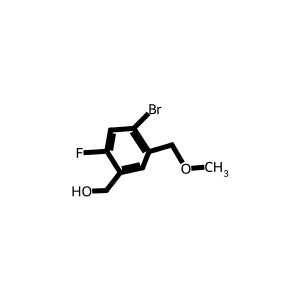 COCc1cc(CO)c(F)cc1Br